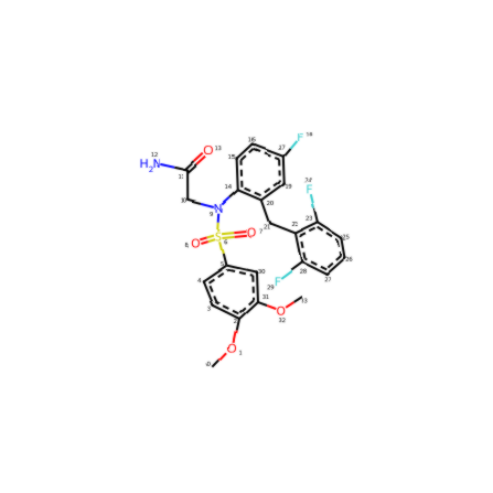 COc1ccc(S(=O)(=O)N(CC(N)=O)c2ccc(F)cc2Cc2c(F)cccc2F)cc1OC